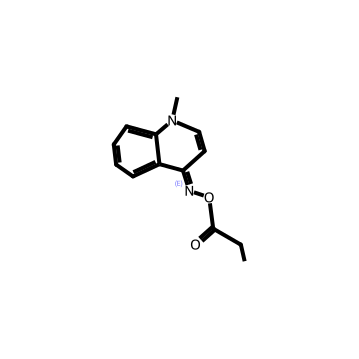 CCC(=O)O/N=c1\ccn(C)c2ccccc12